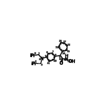 CC(C)CN(CC(C)C)c1ccc(C(C(=O)NO)c2ccccc2)cc1